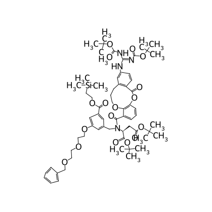 CC(C)(C)OC(=O)C[C@@H](C(=O)OC(C)(C)C)N(Cc1cc(OCCOCCOCc2ccccc2)cc(C(=O)OCC[Si](C)(C)C)c1)C(=O)c1cccc2c1OCCCc1cc(NC(=NC(=O)OC(C)(C)C)NC(=O)OC(C)(C)C)ccc1C(=O)O2